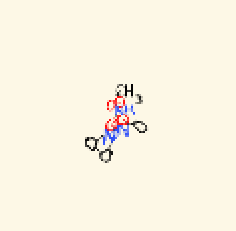 CCOC(=O)NCCOC(=NC(=O)c1ccccc1)N1Cc2ccccc2-c2ccccc2C1